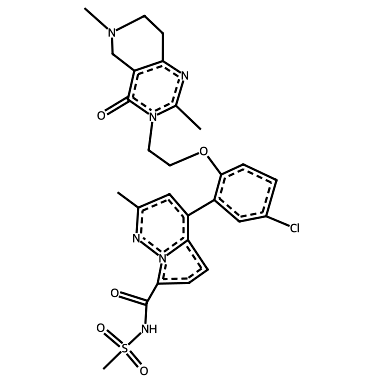 Cc1cc(-c2cc(Cl)ccc2OCCn2c(C)nc3c(c2=O)CN(C)CC3)c2ccc(C(=O)NS(C)(=O)=O)n2n1